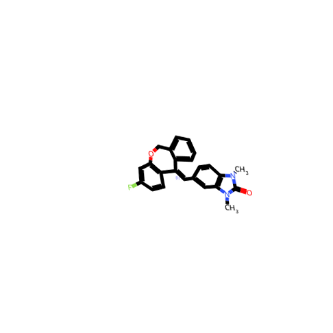 Cn1c(=O)n(C)c2cc(/C=C3\c4ccccc4COc4cc(F)ccc43)ccc21